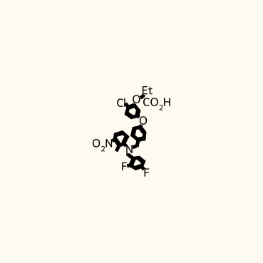 CCC(Oc1cc(Oc2ccc(CN(Cc3ccc(F)cc3F)c3cccc([N+](=O)[O-])c3C)cc2)ccc1Cl)C(=O)O